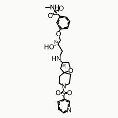 CNS(=O)(=O)c1cccc(OC[C@@H](O)CN[C@H]2COC3(CCN(S(=O)(=O)c4cccnc4)CC3)C2)c1